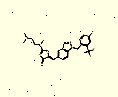 CN(C)CCN(C)C1=NC(=O)C(=Cc2ccc3c(cnn3Cc3ccc(Cl)cc3C(F)(F)F)c2)S1